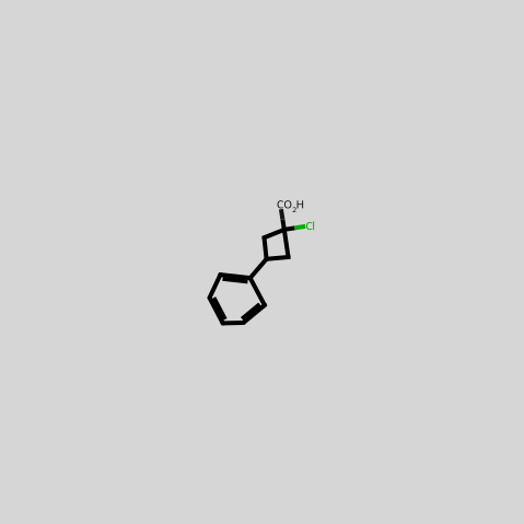 O=C(O)C1(Cl)CC(c2ccccc2)C1